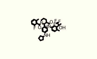 Cc1ccc(NC(=O)C2CCCN(C(=O)c3c(C)cccc3F)C2c2ccc(NC3CCCC3)cc2)cc1C(C)(O)C(F)(F)F